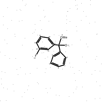 COC([O])(c1ccccc1)c1cccc(F)c1